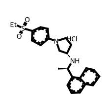 CCS(=O)(=O)c1ccc(N2CC[C@H](N[C@H](C)c3cccc4ccccc34)C2)cc1.Cl